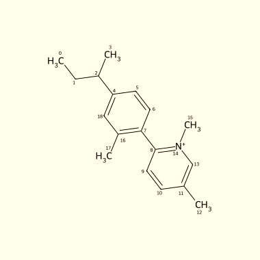 CCC(C)c1ccc(-c2ccc(C)c[n+]2C)c(C)c1